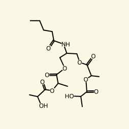 CCCCC(=O)NC(COC(=O)C(C)OC(=O)C(C)O)COC(=O)C(C)OC(=O)C(C)O